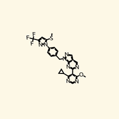 COc1ncnc(C2CC2)c1-c1ncc2cnn(Cc3ccc(-n4nc(C(F)(F)F)cc4SC)cc3)c2n1